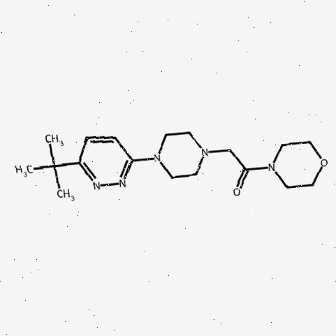 CC(C)(C)c1ccc(N2CCN(CC(=O)N3CCOCC3)CC2)nn1